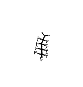 [CH2]C(C)C(F)(F)C(F)(F)C(F)(F)C(F)(F)F